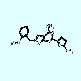 COc1ccccc1Cn1cc2c(N)nc(-c3ccc(C)o3)nc2n1